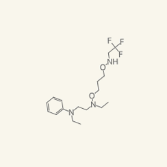 CCN(CCN(CC)c1ccccc1)OCCCONCC(F)(F)F